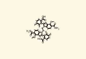 COc1c(C(N)=O)ccc2c1nc(-c1c(C(=O)O)ccc(F)c1F)n2CCn1c(-c2c(C(=O)O)ccc(F)c2F)nc2c(OC)c(C(N)=O)ccc21